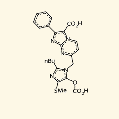 CCCCc1nc(SC)c(OC(=O)O)n1Cc1ccn2c(C(=O)O)c(-c3ccccc3)nc2n1